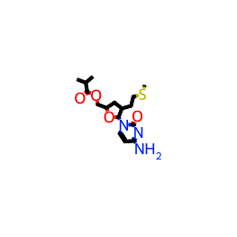 CSCCC1CC(COC(=O)C(C)C)OC1n1ccc(N)nc1=O